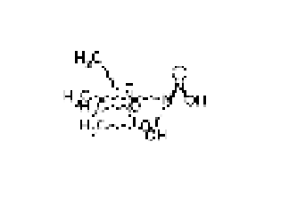 CCCCCCCCC(CCCCCC)CNC(=O)CCCCCN(CCCCCC(O)OCC(CCCCCC)CCCCCCCC)CCN(CCO)C1CCCCCC1